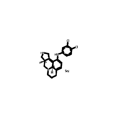 Clc1ccc(NC2=CC=C3CCCN4C[C@@H]5CNCC5=C2[C@@H]34)cc1Cl.[Sn]